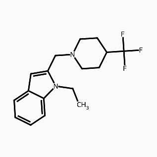 CCn1c(CN2CCC(C(F)(F)F)CC2)cc2ccccc21